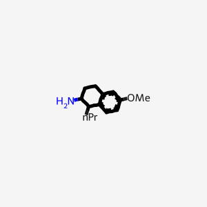 CCCC1c2ccc(OC)cc2CCC1N